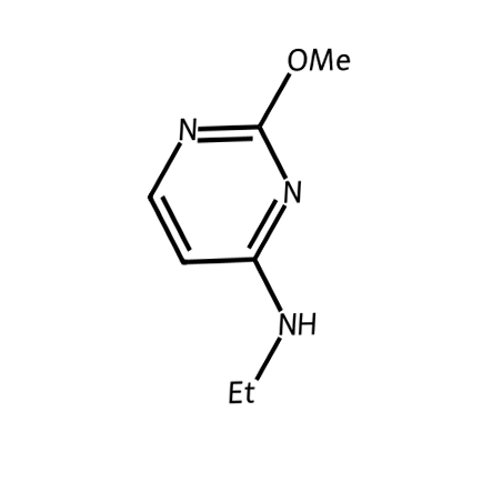 CCNc1ccnc(OC)n1